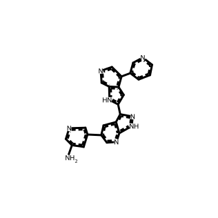 Nc1cncc(-c2cnc3[nH]nc(-c4cc5c(-c6cccnc6)cncc5[nH]4)c3c2)c1